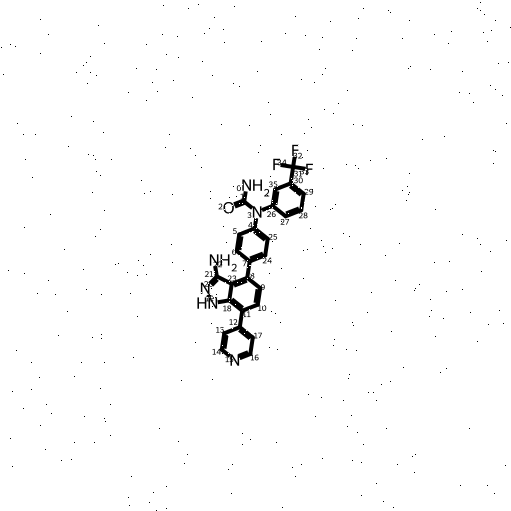 NC(=O)N(c1ccc(-c2ccc(-c3ccncc3)c3[nH]nc(N)c23)cc1)c1cccc(C(F)(F)F)c1